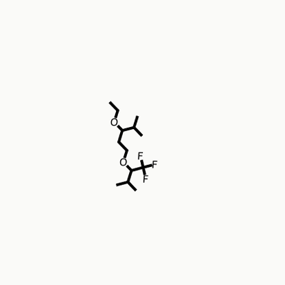 CCOC(CCOC(C(C)C)C(F)(F)F)C(C)C